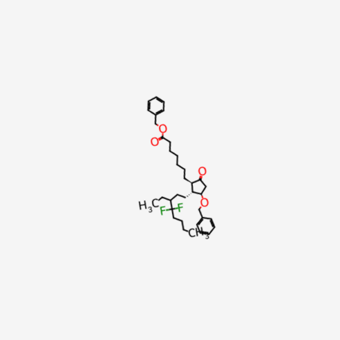 CCCCC(F)(F)C(CC)CC[C@H]1[C@H](OCc2ccccc2)CC(=O)[C@@H]1CCCCCCC(=O)OCc1ccccc1